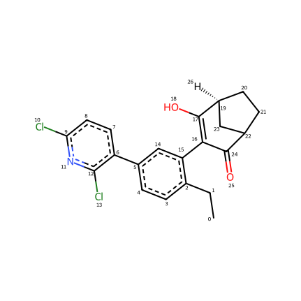 CCc1ccc(-c2ccc(Cl)nc2Cl)cc1C1=C(O)[C@H]2CCC(C2)C1=O